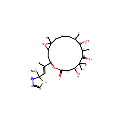 CSC1(/C=C(\C)C2CC3OC3(C)CCCC(C)C(O)C(C)C(=O)C(C)(C)C(O)CC(=O)O2)NC=CS1